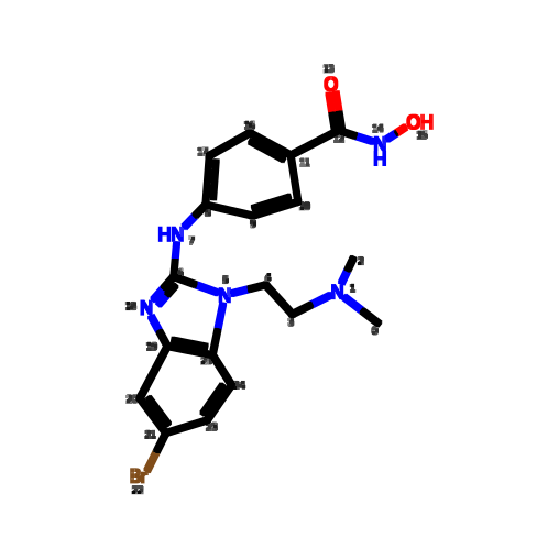 CN(C)CCn1c(Nc2ccc(C(=O)NO)cc2)nc2cc(Br)ccc21